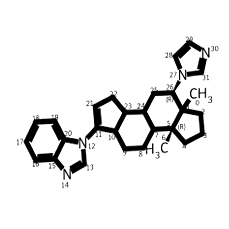 CC12CCC[C@]1(C)C1CCC3C(n4cnc5ccccc54)=CCC3C1C[C@H]2n1ccnc1